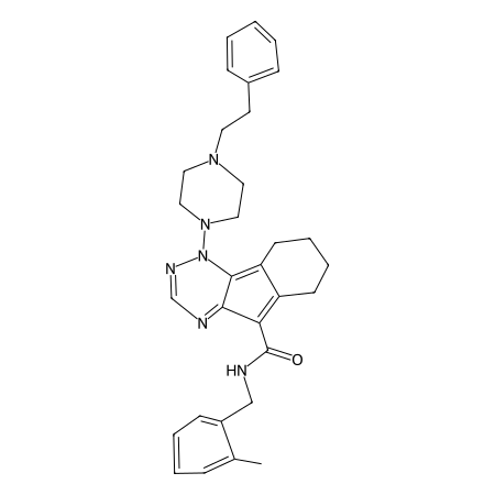 Cc1ccccc1CNC(=O)c1c2ncnn(N3CCN(CCc4ccccc4)CC3)c-2c2c1CCCC2